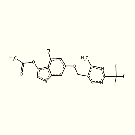 CC(=O)Oc1csc2cc(OCc3cnc(C(F)(F)F)nc3C)cc(Cl)c12